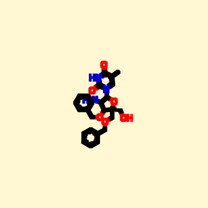 Cc1cn(C2O[C@](CO)(COCc3ccccc3)C(OCc3ccccc3)C2N)c(=O)[nH]c1=O